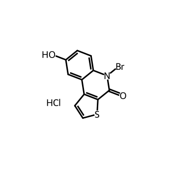 Cl.O=c1c2sccc2c2cc(O)ccc2n1Br